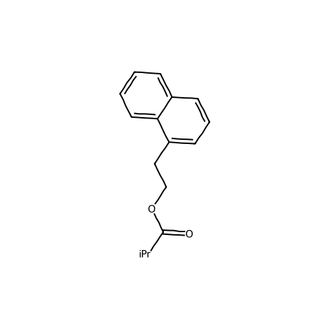 CC(C)C(=O)OCCc1cccc2ccccc12